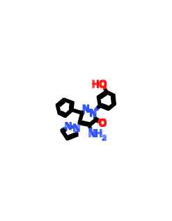 Nc1c(-n2cccn2)c(-c2ccccc2)nn(-c2cccc(O)c2)c1=O